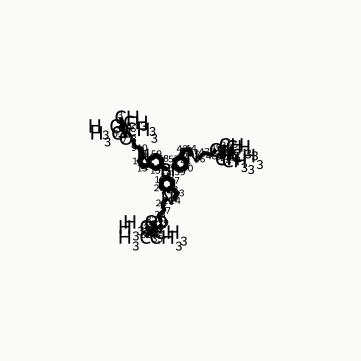 CC(C)(C)[Si](C)(C)OCCCn1ccc2c[c]([Bi]([c]3ccc4c(ccn4CCCO[Si](C)(C)C(C)(C)C)c3)[c]3ccc4c(ccn4CCCO[Si](C)(C)C(C)(C)C)c3)ccc21